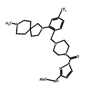 CSNc1ccn(C(=O)N2CCN(Cc3ccc(C(F)(F)F)cc3N3CCC4(CCN(C)CC4)C3)CC2)n1